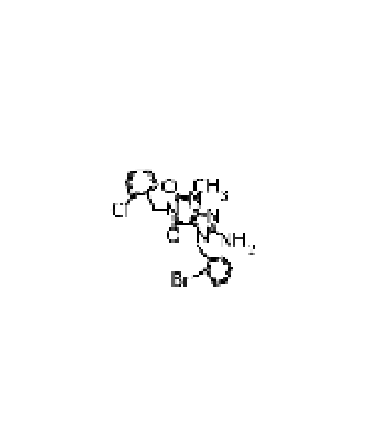 Cn1c(=O)n(Cc2ccccc2Cl)c(=O)c2c1nc(N)n2Cc1ccccc1Br